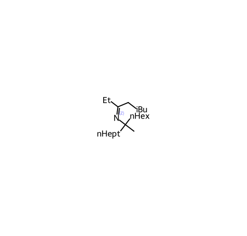 CCCCCCCC(C)(CCCCCC)/N=C(/CC)CC(C)CC